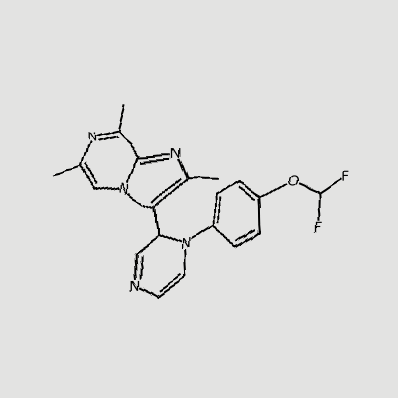 Cc1cn2c(C3C=NC=CN3c3ccc(OC(F)F)cc3)c(C)nc2c(C)n1